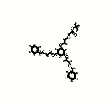 CC(C)(C)OC(=O)COCCOc1cc(OCCOCc2ccccc2)cc(OCCOCc2ccccc2)c1